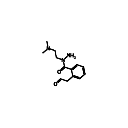 CN(C)CCN(N)C(=O)c1ccccc1CC=O